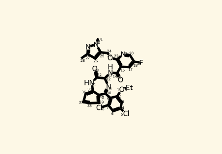 CCOc1cc(Cl)cc(Cl)c1C1=NC(NC(=O)c2cc(F)cnc2OCc2cc(C)nn2C)C(=O)Nc2ccccc21